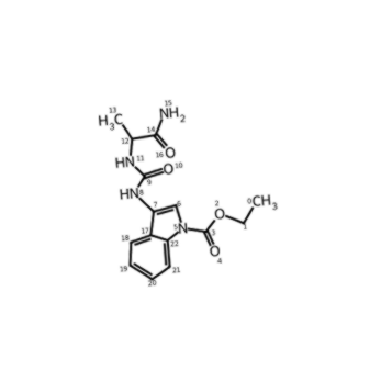 CCOC(=O)n1cc(NC(=O)NC(C)C(N)=O)c2ccccc21